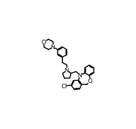 Clc1ccc2c(c1)N(CC1CCCN1CCc1cccc(N3CCOCC3)c1)c1ccccc1OC2